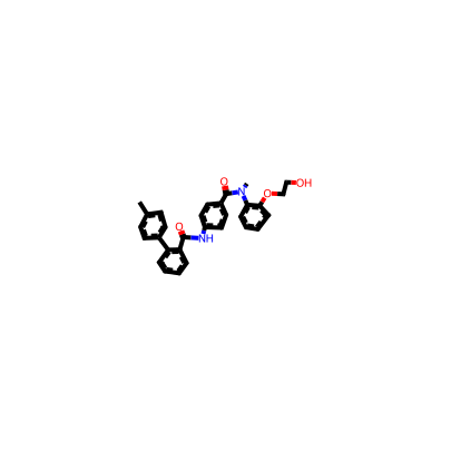 Cc1ccc(-c2ccccc2C(=O)Nc2ccc(C(=O)N(C)c3ccccc3OCCO)cc2)cc1